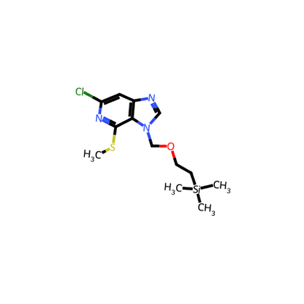 CSc1nc(Cl)cc2ncn(COCC[Si](C)(C)C)c12